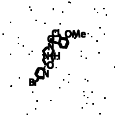 COc1cccc(C(=O)N2CCN3C[C@@H](c4ccc(Br)cn4)OC[C@H]3C2)c1Cl